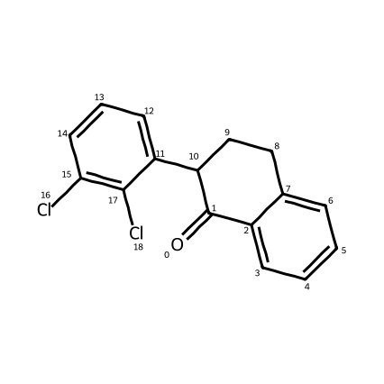 O=C1c2ccccc2CCC1c1cccc(Cl)c1Cl